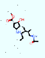 CCCC(C[C@H]1[C@H](O)[C@@H](C(=O)OC)C[C@H]1N)C(C)CNC(C)=O